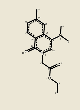 CCOC(=O)Cn1nc(N(C)C)c2cc(C)ccc2c1=O